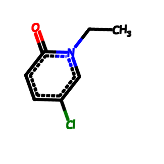 CCn1cc(Cl)ccc1=O